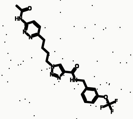 CC(=O)Nc1ccc(CCCCn2cc(C(=O)NCc3cccc(OC(F)(F)F)c3)nn2)nn1